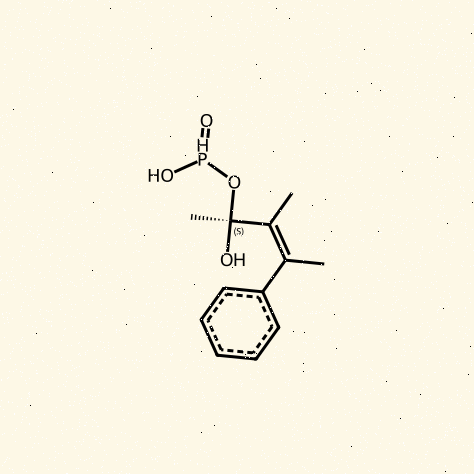 CC(=C(C)[C@@](C)(O)O[PH](=O)O)c1ccccc1